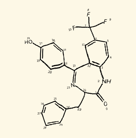 O=C1Nc2ccc(C(F)(F)F)cc2C(c2ccc(O)cc2)=NC1Cc1ccccc1